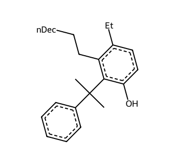 CCCCCCCCCCCCc1c(CC)ccc(O)c1C(C)(C)c1ccccc1